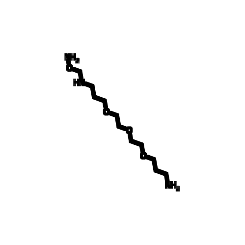 NCCCOCCOCCOCCCNCON